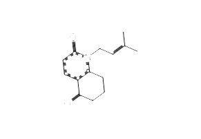 CC(C)=CCn1c2c(ccc1=O)C(=O)CCC2